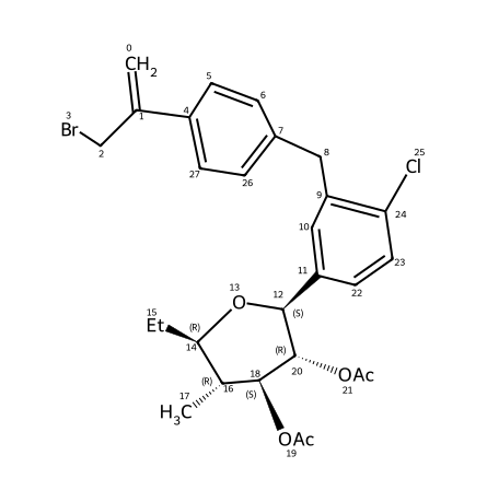 C=C(CBr)c1ccc(Cc2cc([C@@H]3O[C@H](CC)[C@@H](C)[C@H](OC(C)=O)[C@H]3OC(C)=O)ccc2Cl)cc1